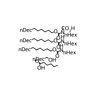 CCCCCC(=O)O.CCCCCCCCCCCCCCCCOC(=O)N(CCCCCC)C(=O)O.CCCCCCCCCCCCCCCCOC(=O)NCCCCCC.CCCCCCCCCCCCCCCCOC(=O)NCCCCCC.CCCCCCCCCCCO